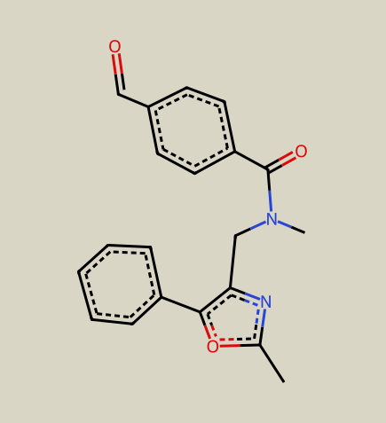 Cc1nc(CN(C)C(=O)c2ccc(C=O)cc2)c(-c2ccccc2)o1